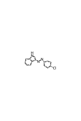 Clc1ccc(/N=N/c2c[nH]c3ccccc23)cc1